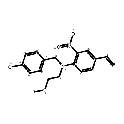 C=Cc1ccc(N(CCOC)Cc2ccc(Cl)cc2)c([N+](=O)[O-])c1